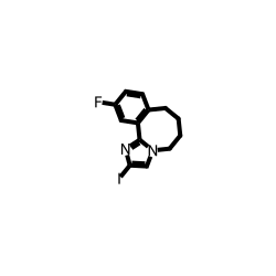 Fc1ccc2c(c1)-c1nc(I)cn1CCCC2